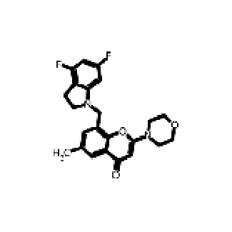 Cc1cc(CN2CCc3c(F)cc(F)cc32)c2oc(N3CCOCC3)cc(=O)c2c1